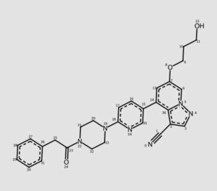 N#Cc1cnn2cc(OCCCO)cc(-c3ccc(N4CCN(C(=O)Cc5ccccc5)CC4)nc3)c12